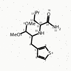 COC(OC)C(Cc1ccsc1)N[C@@H](CC(C)C)C(N)=O